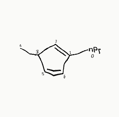 CCCC1=C[C](C)C=C1